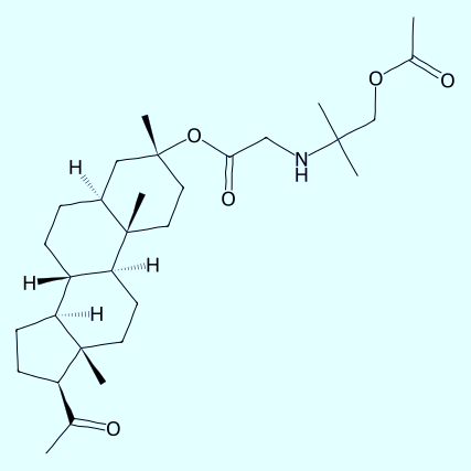 CC(=O)OCC(C)(C)NCC(=O)O[C@]1(C)CC[C@@]2(C)[C@@H](CC[C@@H]3[C@@H]2CC[C@]2(C)[C@@H](C(C)=O)CC[C@@H]32)C1